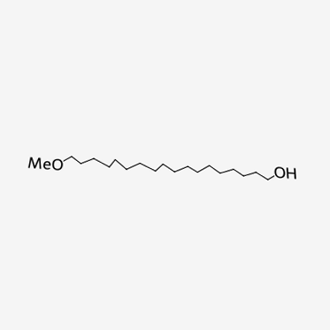 COCCCCCCCCCCCCCCCCCCO